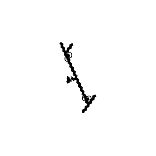 CCCCCC(CCCCC)CC(=O)OCCCCCCCCCC(CCCCCCCCCOC(=O)CC(CCCCC)CCCCC)CCN(C)CC